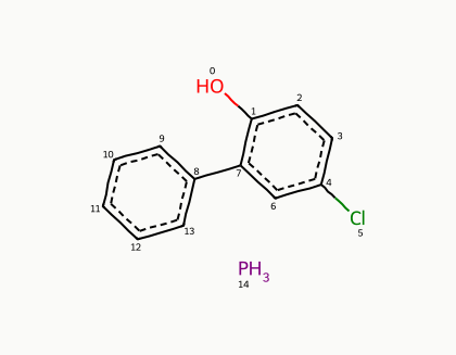 Oc1ccc(Cl)cc1-c1ccccc1.P